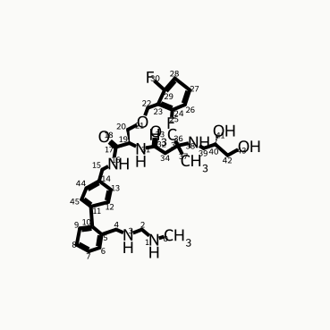 CNCNCc1ccccc1-c1ccc(CNC(=O)[C@@H](COCc2c(F)cccc2F)NC(=O)CC(C)(C)NC[C@H](O)CO)cc1